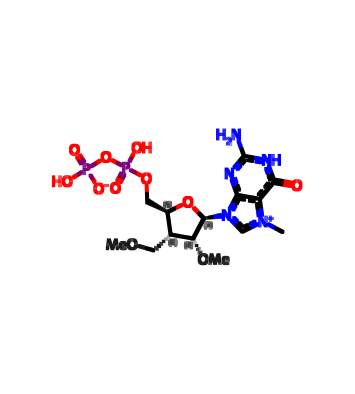 COC[C@H]1[C@@H](OC)[C@H](n2c[n+](C)c3c(=O)[nH]c(N)nc32)O[C@@H]1COP(=O)(O)OP(=O)([O-])O